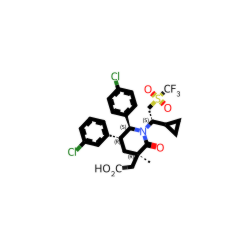 C[C@]1(CC(=O)O)C[C@H](c2cccc(Cl)c2)[C@@H](c2ccc(Cl)cc2)N([C@H](CS(=O)(=O)C(F)(F)F)C2CC2)C1=O